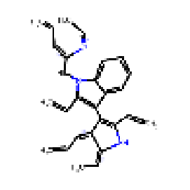 C=C/C=C(Bn1c(C=C)c(-c2c(C=C)[nH]c(=C/C)/c2=C\C=C)c2ccccc21)\N=C/C